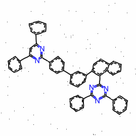 c1ccc(-c2cc(-c3ccccc3)nc(-c3ccc(-c4cccc(-c5ccc6ccccc6c5-c5nc(-c6ccccc6)nc(-c6ccccc6)n5)c4)cc3)n2)cc1